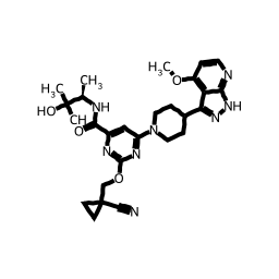 COc1ccnc2[nH]nc(C3CCN(c4cc(C(=O)N[C@H](C)C(C)(C)O)nc(OCC5(C#N)CC5)n4)CC3)c12